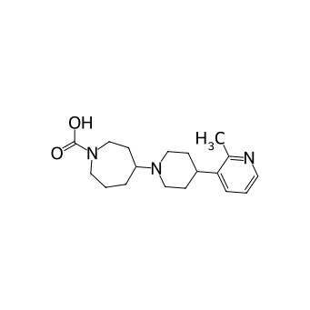 Cc1ncccc1C1CCN(C2CCCN(C(=O)O)CC2)CC1